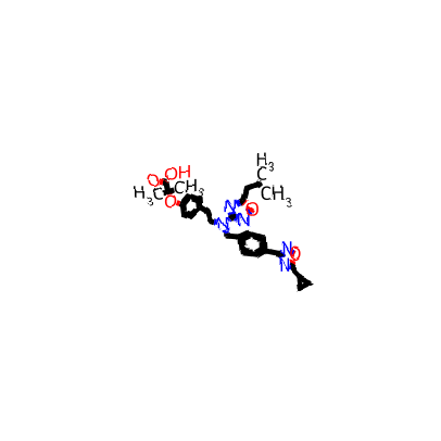 CC(C)Cc1nc(N(CCc2ccc(OC(C)(C)C(=O)O)cc2)Cc2ccc(-c3noc(C4CC4)n3)cc2)no1